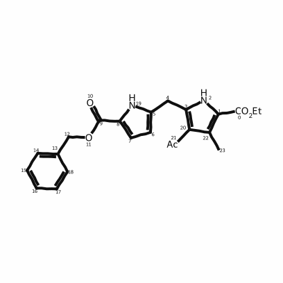 CCOC(=O)c1[nH]c(Cc2ccc(C(=O)OCc3ccccc3)[nH]2)c(C(C)=O)c1C